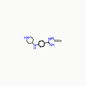 CN/N=N\C(=N)c1ccc(NC2CCNCC2)cc1